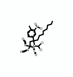 CCCCCCCCC(CC(N=C=O)(N=C=O)N=C=O)([SiH2]C(Cl)Cl)c1ccc(C)c([N+](=O)[O-])c1